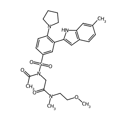 COCCN(C)C(=O)CN(C(C)=O)S(=O)(=O)c1ccc(N2CCCC2)c(-c2cc3ccc(C)cc3[nH]2)c1